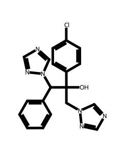 OC(Cn1cncn1)(c1ccc(Cl)cc1)C(c1ccccc1)n1cncn1